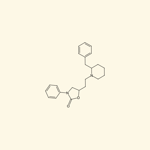 O=C1OC(CCN2CCCCC2Cc2ccccc2)CN1c1ccccc1